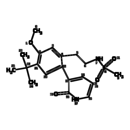 COc1cc(CCNS(C)(=O)=O)c(-c2ccc[nH]c2=O)cc1C(C)(C)C